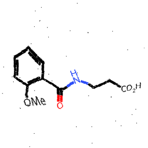 COc1[c]cccc1C(=O)NCCC(=O)O